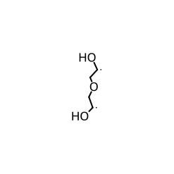 O[CH]COC[CH]O